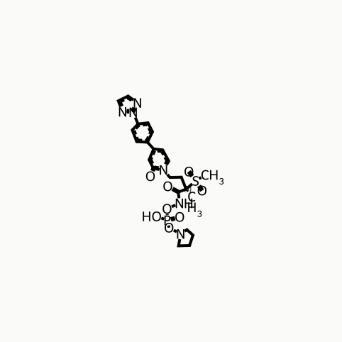 C[C@@](CCn1ccc(-c2ccc(-n3nccn3)cc2)cc1=O)(C(=O)NOP(=O)(O)ON1CCCC1)S(C)(=O)=O